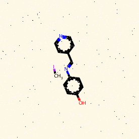 CI.Oc1ccc(/N=C/c2ccncc2)cc1